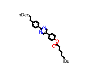 CCCCCCCCCCCCc1ccc(-c2ncc(-c3ccc(OC(=O)CCCCCC(C)CC)cc3)cn2)cc1